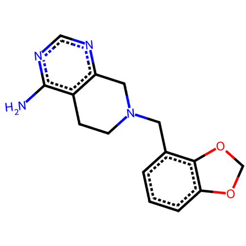 Nc1ncnc2c1CCN(Cc1cccc3c1OCO3)C2